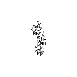 Cc1ccc(NC(=O)Nc2ccc(-c3nn(C(C)C)c4ncnc(N)c34)cc2F)cc1C(F)(F)F